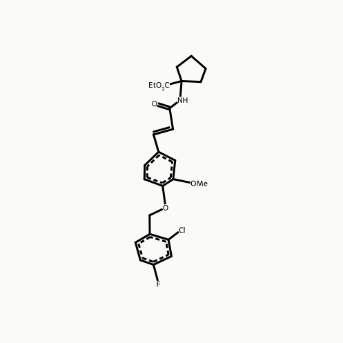 CCOC(=O)C1(NC(=O)C=Cc2ccc(OCc3ccc(F)cc3Cl)c(OC)c2)CCCC1